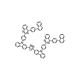 c1ccc2c(-c3ccc(-c4nc(-c5ccc(-n6c7ccccc7c7ccc(-c8nnc(-c9ccc%10c%11ccccc%11n(-c%11ccc(-c%12nc(-c%13ccc(-c%14cccc%15ccccc%14%15)cc%13)c%13ccccc%13n%12)cc%11)c%10c9)o8)cc76)cc5)nc5ccccc45)cc3)cccc2c1